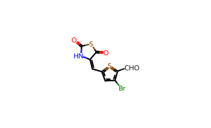 O=Cc1sc(C=C2NC(=O)SC2=O)cc1Br